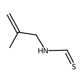 C=C(C)CNC=S